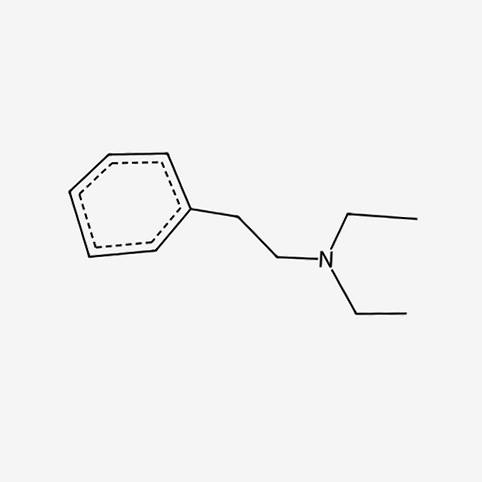 CCN(CC)CCc1ccccc1